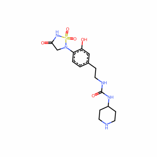 O=C1CN(c2ccc(CCNC(=O)NC3CCNCC3)cc2O)S(=O)(=O)N1